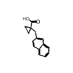 O=C(O)C1(Cc2ccc3ccccc3c2)CC1